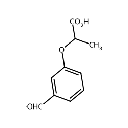 CC(Oc1cccc([C]=O)c1)C(=O)O